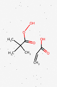 C=CC(=O)O.CC(C)(C)C(=O)OO